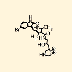 Cc1[nH]c(C=C2C(=O)Nc3ccc(Br)cc32)c(C)c1C(=O)NCC(O)CC1CNCCS1(=O)=O